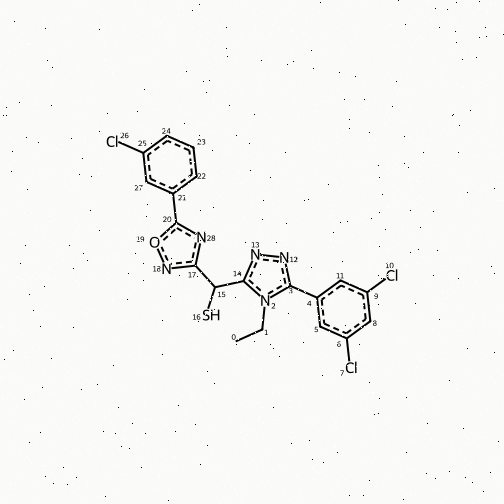 CCn1c(-c2cc(Cl)cc(Cl)c2)nnc1C(S)c1noc(-c2cccc(Cl)c2)n1